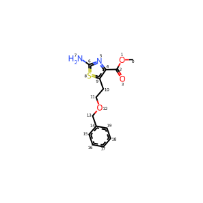 COC(=O)c1nc(N)sc1CCOCc1ccccc1